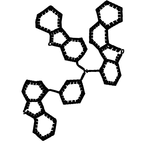 c1cc(-c2cccc3sc4ccccc4c23)cc(N(c2ccc3c(c2)oc2ccccc23)c2cccc3oc4c5ccccc5ccc4c23)c1